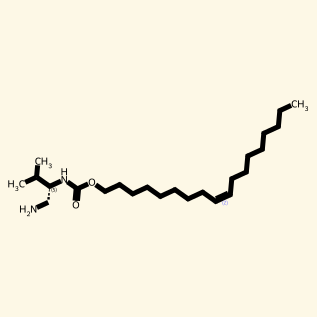 CCCCCCCC/C=C\CCCCCCCCOC(=O)N[C@H](CN)C(C)C